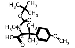 COc1ccc(C(C)(C)[C@@H](C(=O)O)N(C)C(=O)OC(C)(C)C)cc1